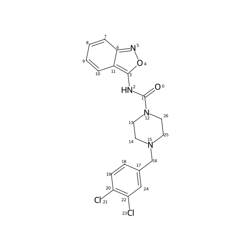 O=C(Nc1onc2ccccc12)N1CCN(Cc2ccc(Cl)c(Cl)c2)CC1